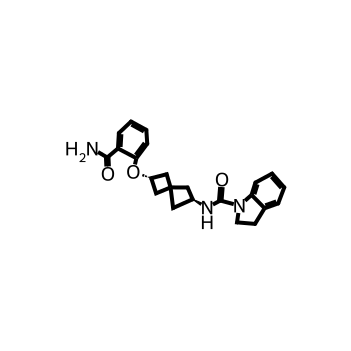 NC(=O)c1ccccc1O[C@H]1CC2(C[C@H](NC(=O)N3CCc4ccccc43)C2)C1